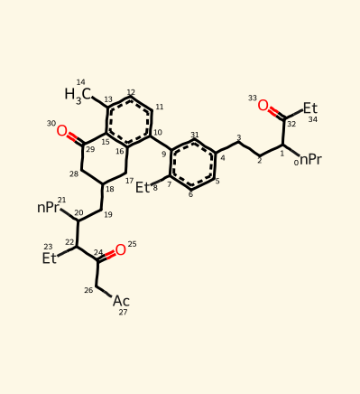 CCCC(CCc1ccc(CC)c(-c2ccc(C)c3c2CC(CC(CCC)C(CC)C(=O)CC(C)=O)CC3=O)c1)C(=O)CC